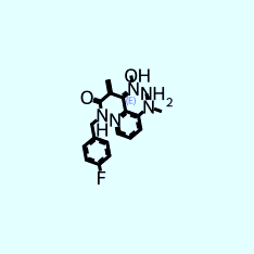 C=C(C(=O)NCc1ccc(F)cc1)/C(=N\O)c1ncccc1N(C)N